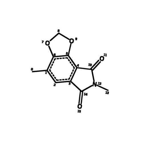 Cc1cc2c(c3c1OCO3)C(=O)N(C)C2=O